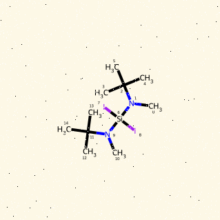 CN(C(C)(C)C)[Si](I)(I)N(C)C(C)(C)C